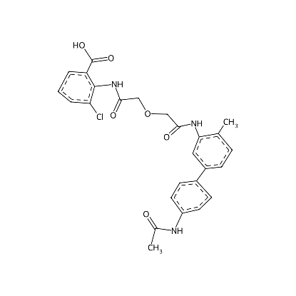 CC(=O)Nc1ccc(-c2ccc(C)c(NC(=O)COCC(=O)Nc3c(Cl)cccc3C(=O)O)c2)cc1